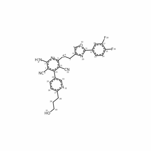 N#Cc1c(N)nc(SCc2coc(-c3ccc(F)c(F)c3)n2)c(C#N)c1-c1ccc(CCCO)nc1